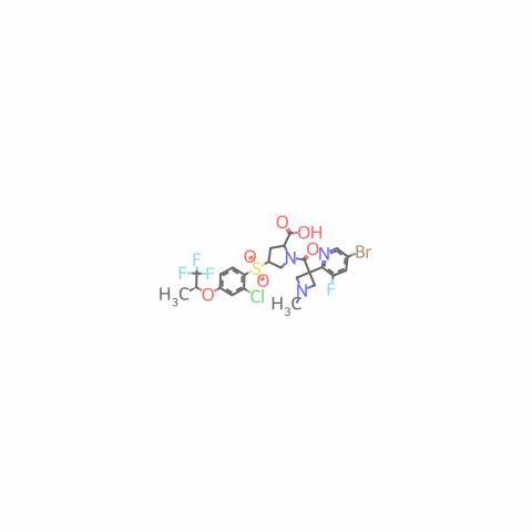 C[C@H](Oc1ccc(S(=O)(=O)C2CC(C(=O)O)N(C(=O)C3(c4ncc(Br)cc4F)CN(C)C3)C2)c(Cl)c1)C(F)(F)F